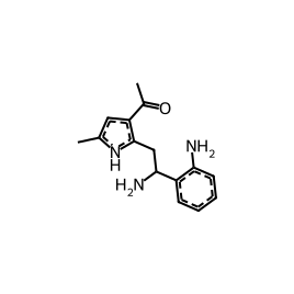 CC(=O)c1cc(C)[nH]c1CC(N)c1ccccc1N